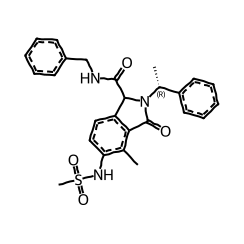 Cc1c(NS(C)(=O)=O)ccc2c1C(=O)N([C@H](C)c1ccccc1)C2C(=O)NCc1ccccc1